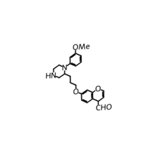 COc1cccc(N2CCNCC2CCCOc2ccc3c(c2)OC=CC3C=O)c1